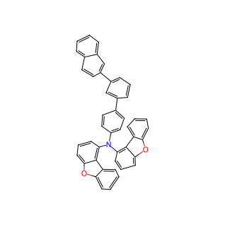 c1cc(-c2ccc(N(c3cccc4oc5ccccc5c34)c3cccc4oc5ccccc5c34)cc2)cc(-c2ccc3ccccc3c2)c1